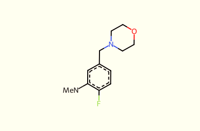 CNc1cc(CN2CCOCC2)ccc1F